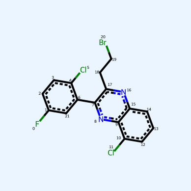 Fc1ccc(Cl)c(-c2nc3c(Cl)cccc3nc2CCBr)c1